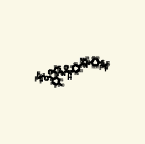 Cc1ccc(COCC(F)(F)F)c(N2C(=O)CS/C2=N\C(=O)Nc2ccc(-c3ncn(-c4ccc(SC(F)(F)F)cc4)n3)cc2)c1